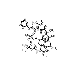 CC(C)C[C@H](NC(=O)[C@H](CCS(C)(=O)=O)NC(=O)[C@@H](NC(=O)OC(C)(C)C)C(C)C)[C@@H](O)C[C@@H](C)C(=O)N[C@H](C(=O)NCc1ccccc1)C(C)C